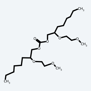 CCCCCCC(COC(=O)OCC(CCCCCC)OCCOC)OCCOC